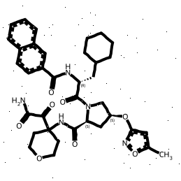 Cc1cc(O[C@H]2C[C@@H](C(=O)NC3(C(=O)C(N)=O)CCOCC3)N(C(=O)[C@@H](CC3CCCCC3)NC(=O)c3ccc4ccccc4c3)C2)no1